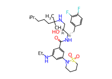 CCNc1cc(C(=O)N[C@@H](Cc2ccc(F)c(F)c2)[C@H](O)CNC(C)(C)CCCC(C)C)cc(N2CCCCS2(=O)=O)c1